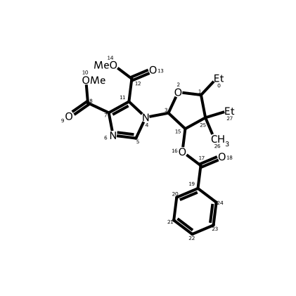 CCC1OC(n2cnc(C(=O)OC)c2C(=O)OC)C(OC(=O)c2ccccc2)C1(C)CC